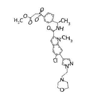 COC(=O)CS(=O)(=O)c1ccc([C@@H](C)NC(=O)c2cc3cc(Cl)c(-c4cnn(CCN5CCOCC5)c4)cc3n2C)cc1